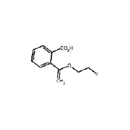 C=C(OCCF)c1ccccc1C(=O)O